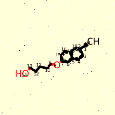 C#Cc1ccc2cc(OCCCCCO)ccc2c1